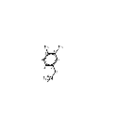 NCc1[c]cc(F)c(F)c1